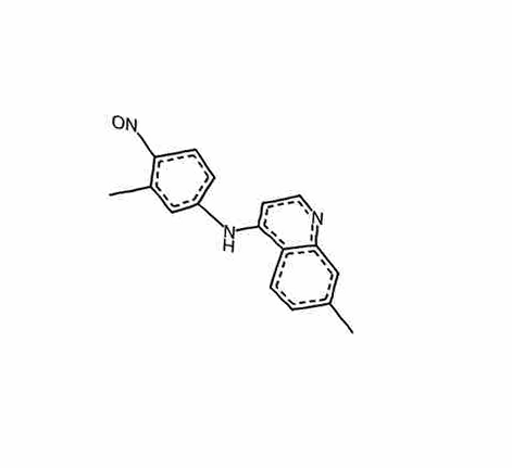 Cc1ccc2c(Nc3ccc(N=O)c(C)c3)ccnc2c1